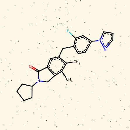 Cc1c(Cc2ccc(-n3cccn3)cc2F)cc2c(c1C)CN(C1CCCC1)C2=O